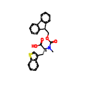 CN(C(=O)OCC1c2ccccc2-c2ccccc21)[C@H](Cc1csc2ccccc12)C(=O)O